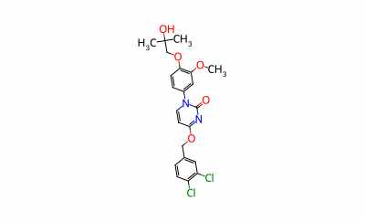 COc1cc(-n2ccc(OCc3ccc(Cl)c(Cl)c3)nc2=O)ccc1OCC(C)(C)O